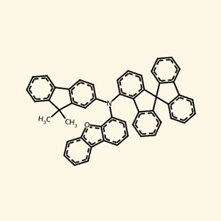 CC1(C)c2ccccc2-c2ccc(N(c3cccc4c3-c3ccccc3C43c4ccccc4-c4ccccc43)c3cccc4c3oc3ccccc34)cc21